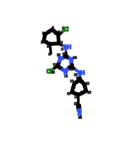 Cc1cccc(Cl)c1Nc1nc(Cl)nc(Nc2ccc(C#N)cc2)n1